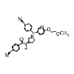 COCCOc1ccc(C(c2ccc(C#N)cc2)N2CC[C@@H](NC(=O)c3ccc(C#N)cc3)C2)cn1